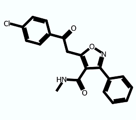 CNC(=O)c1c(-c2ccccc2)noc1CC(=O)c1ccc(Cl)cc1